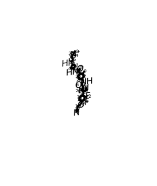 Cc1cc(NC(=O)c2ncc(-c3ccc(OCC#N)c(F)c3F)n2C)ccc1C(=O)N[C@H]1C[C@@H](NCC[N+](C)(C)C)C1